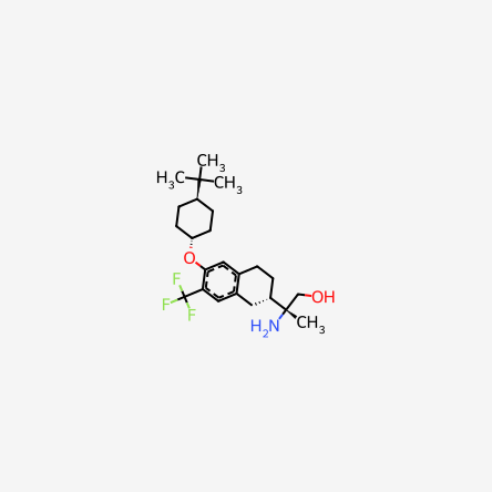 CC(C)(C)[C@H]1CC[C@H](Oc2cc3c(cc2C(F)(F)F)C[C@@H]([C@@](C)(N)CO)CC3)CC1